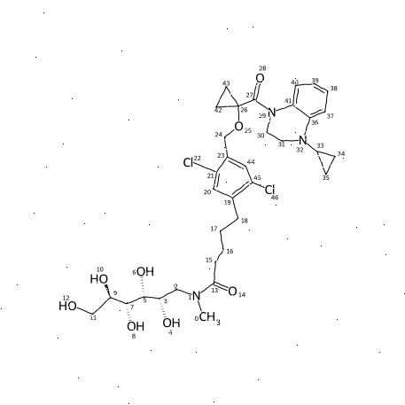 CN(C[C@H](O)[C@@H](O)[C@H](O)[C@H](O)CO)C(=O)CCCCc1cc(Cl)c(COC2(C(=O)N3CCN(C4CC4)c4ccccc43)CC2)cc1Cl